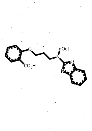 CCCCCCCCN(CCCOc1ccccc1C(=O)O)c1nc2ccccc2o1